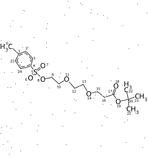 Cc1ccc(S(=O)(=O)OCCOCCOCCC(=O)OC(C)(C)C)cc1